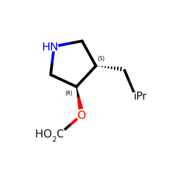 CC(C)C[C@H]1CNC[C@@H]1OC(=O)O